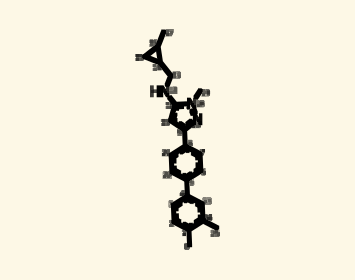 Cc1ccc(-c2ccc(-c3cc(NCC4CC4C)n(C)n3)cc2)cc1C